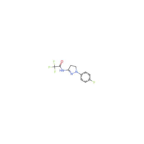 O=C(NC1=NN(c2ccc(F)cc2)CC1)C(F)(F)F